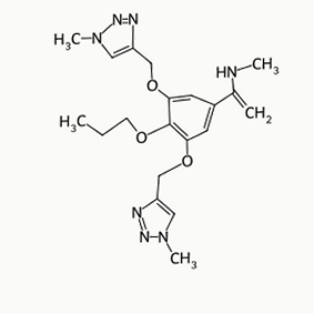 C=C(NC)c1cc(OCc2cn(C)nn2)c(OCCC)c(OCc2cn(C)nn2)c1